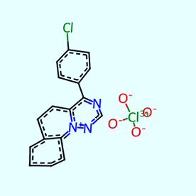 Clc1ccc(-c2ncn[n+]3c2ccc2ccccc23)cc1.[O-][Cl+3]([O-])([O-])[O-]